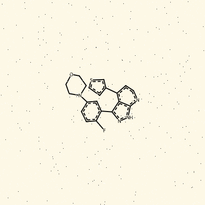 Fc1ccc(N2CCOCC2)cc1-c1n[nH]c2nccc(-c3ccsc3)c12